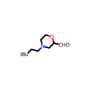 CC(C)(C)CCN1CCOC([C]=O)C1